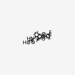 O=C(CO)NCC1CCCc2cc(S(=O)(=O)c3cccc(F)c3)cc(F)c21